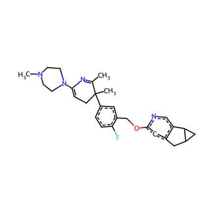 CC1=NC(N2CCN(C)CC2)=CCC1(C)c1ccc(F)c(COc2cc3c(cn2)C2CC2C3)c1